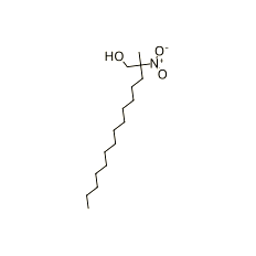 CCCCCCCCCCCCCC(C)(CO)[N+](=O)[O-]